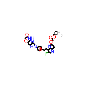 CCOC(=O)COc1ccc2ncc(F)c(CCC34CCC(NCc5ccc6c(n5)NC(=O)CO6)(CC3)CO4)c2n1